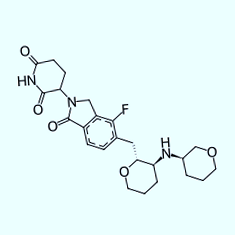 O=C1CCC(N2Cc3c(ccc(C[C@H]4OCCC[C@@H]4N[C@@H]4CCCOC4)c3F)C2=O)C(=O)N1